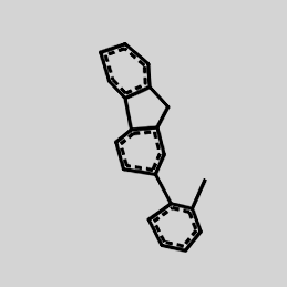 Cc1ccccc1-c1ccc2c(c1)Cc1ccccc1-2